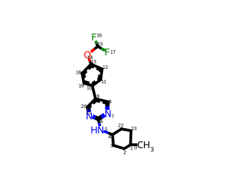 CC1CCC(Nc2ncc(-c3ccc(OC(F)F)cc3)cn2)CC1